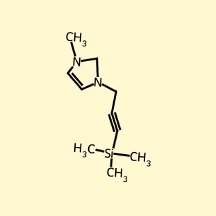 CN1C=CN(CC#C[Si](C)(C)C)C1